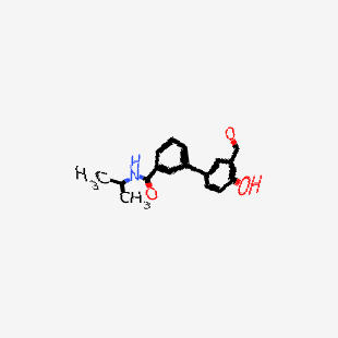 CC(C)NC(=O)c1cccc(-c2ccc(O)c(C=O)c2)c1